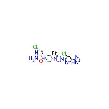 CC[C@H]1CN(c2ncc(-c3ncc[nH]3)cc2Cl)CCN1C1CCN(C(=O)c2ccc(Cl)nc2N)CC1